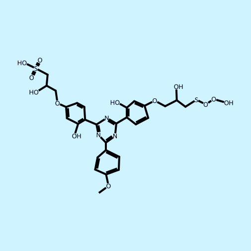 COc1ccc(-c2nc(-c3ccc(OCC(O)CSOOO)cc3O)nc(-c3ccc(OCC(O)CS(=O)(=O)O)cc3O)n2)cc1